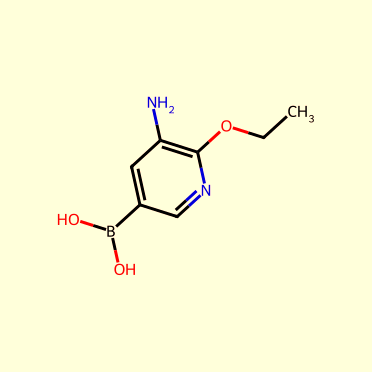 CCOc1ncc(B(O)O)cc1N